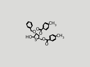 Cc1ccc(C(=O)OC[C@H]2SC(O)C(OCc3ccccc3)[C@@H]2OC(=O)c2ccc(C)cc2)cc1